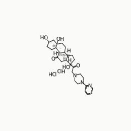 C[C@]12CC(=O)[C@H]3[C@@H](CCC4(O)CC(O)CC[C@]34C)[C@@H]1CC[C@]2(O)C(=O)CN1CCN(c2ccccn2)CC1.Cl.Cl